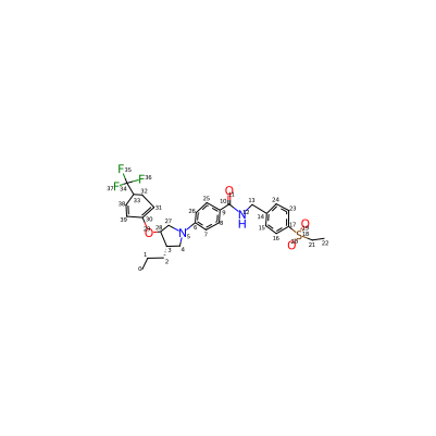 CCC[C@H]1CN(c2ccc(C(=O)NCc3ccc(S(=O)(=O)CC)cc3)cc2)CC1OC1=CCC(C(F)(F)F)C=C1